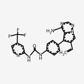 C=Cc1cn2ncnc(N)c2c1-c1ccc(NC(=O)Nc2cc(C(F)(F)F)ccn2)cc1